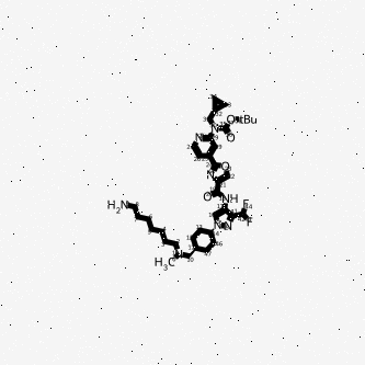 CN(CCCCCCCN)C[C@H]1CC[C@H](n2cc(NC(=O)c3coc(-c4ccnc(N(CC5CC5)C(=O)OC(C)(C)C)c4)n3)c(C(F)F)n2)CC1